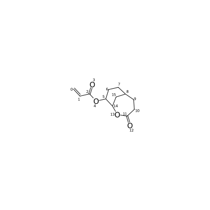 C=CC(=O)OC1CCC2CCC(=O)OC1C2